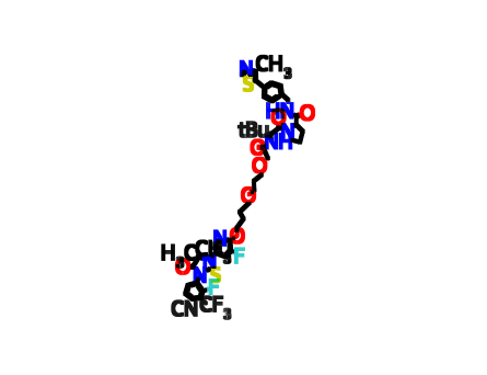 Cc1ncsc1-c1ccc(CNC(=O)C2CCCN2C(=O)C(NC(=O)COCCCOCCCCOc2ncc(N3C(=S)N(c4ccc(C#N)c(C(F)(F)F)c4F)C(=O)C3(C)C)cc2F)C(C)(C)C)cc1